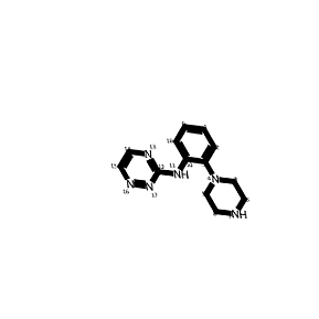 c1ccc(N2CCNCC2)c(Nc2nccnn2)c1